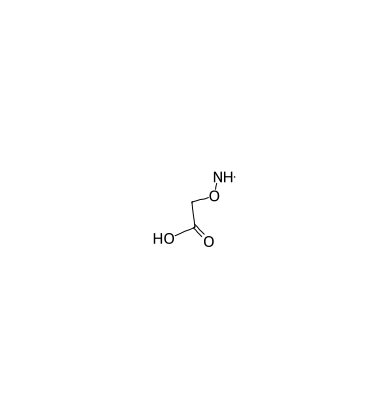 [NH]OCC(=O)O